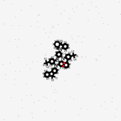 Cc1cc2c3c(c1)N(c1ccc(C(C)(C)C)cc1-c1ccccc1)c1cc(N4c5ccccc5C5(C)CCCCC45C)ccc1B3c1ccc(C(C)(C)C)cc1N2c1ccc2c(c1)-c1ccccc1C2(C)C